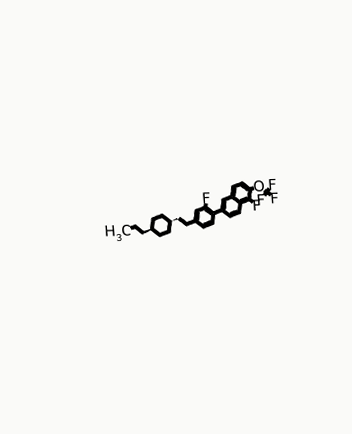 CCC[C@H]1CC[C@H](CCc2ccc(-c3ccc4c(F)c(OC(F)(F)F)ccc4c3)c(F)c2)CC1